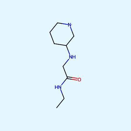 CCNC(=O)CNC1CCC[N]C1